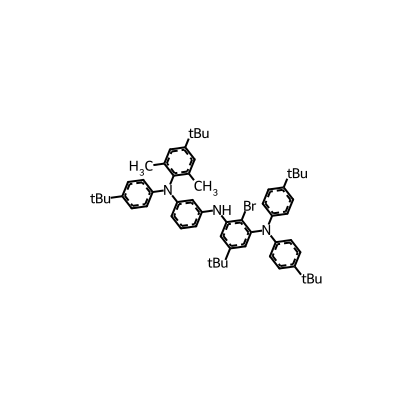 Cc1cc(C(C)(C)C)cc(C)c1N(c1ccc(C(C)(C)C)cc1)c1cccc(Nc2cc(C(C)(C)C)cc(N(c3ccc(C(C)(C)C)cc3)c3ccc(C(C)(C)C)cc3)c2Br)c1